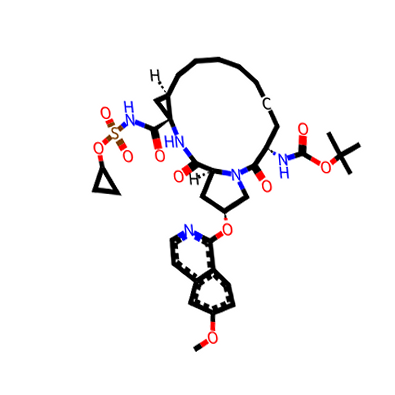 COc1ccc2c(O[C@@H]3C[C@H]4C(=O)N[C@]5(C(=O)NS(=O)(=O)OC6CC6)C[C@H]5CCCCCCC[C@H](NC(=O)OC(C)(C)C)C(=O)N4C3)nccc2c1